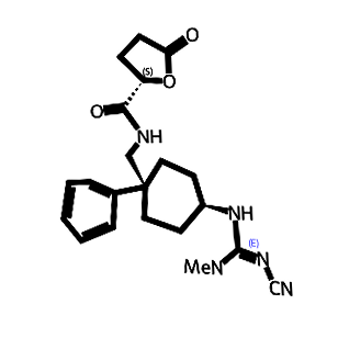 CN/C(=N\C#N)N[C@H]1CC[C@](CNC(=O)[C@@H]2CCC(=O)O2)(c2ccccc2)CC1